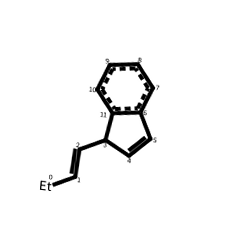 CCC=CC1C=Cc2ccccc21